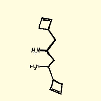 NC(CC1C=CC1)CC(N)C1C=CC1